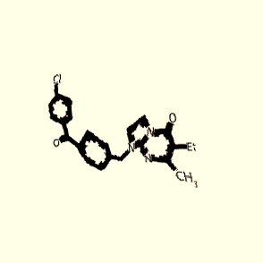 CCc1c(C)nc2n(Cc3ccc(C(=O)c4ccc(Cl)cc4)cc3)ccn2c1=O